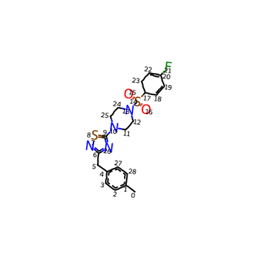 Cc1ccc(Cc2nsc(N3CCN(S(=O)(=O)C4C=CC(F)=CC4)CC3)n2)cc1